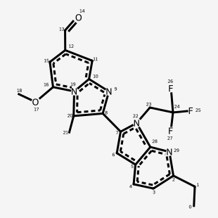 CCc1ccc2cc(-c3nc4cc(C=O)cc(OC)n4c3C)n(CC(F)(F)F)c2n1